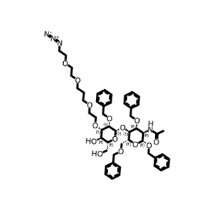 CC(=O)N[C@H]1[C@H](OCc2ccccc2)O[C@H](COCc2ccccc2)[C@@H](O[C@@H]2O[C@H](CO)[C@@H](O)[C@H](OCCOCCCOCCOCCN=[N+]=[N-])[C@@H]2OCc2ccccc2)[C@@H]1OCc1ccccc1